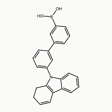 OB(O)c1cccc(-c2cccc(-n3c4c(c5ccccc53)C=CCC4)c2)c1